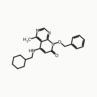 Cc1ncnc2c1c(NCC1CCCCC1)cc(=O)n2OCc1ccccc1